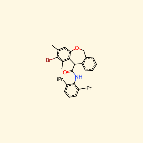 Cc1cc2c(c(C)c1Br)C(C(=O)Nc1c(C(C)C)cccc1C(C)C)c1ccccc1CO2